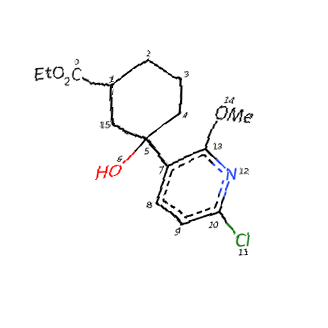 CCOC(=O)C1CCCC(O)(c2ccc(Cl)nc2OC)C1